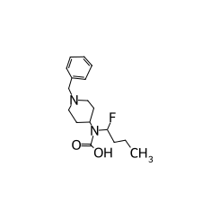 CCCC(F)N(C(=O)O)C1CCN(Cc2ccccc2)CC1